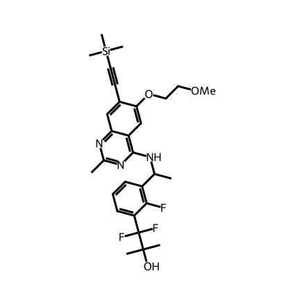 COCCOc1cc2c(NC(C)c3cccc(C(F)(F)C(C)(C)O)c3F)nc(C)nc2cc1C#C[Si](C)(C)C